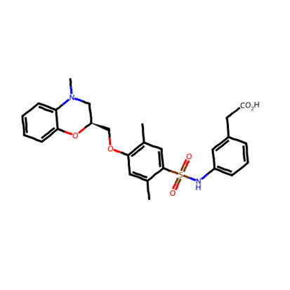 Cc1cc(S(=O)(=O)Nc2cccc(CC(=O)O)c2)c(C)cc1OC[C@@H]1CN(C)c2ccccc2O1